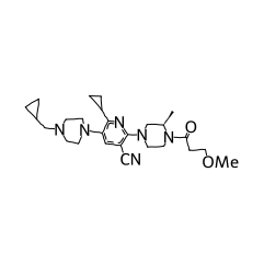 COCCC(=O)N1CCN(c2nc(C3CC3)c(N3CCN(CC4CC4)CC3)cc2C#N)C[C@H]1C